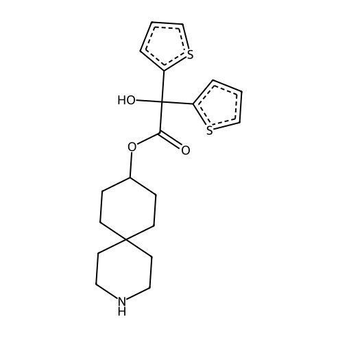 O=C(OC1CCC2(CCNCC2)CC1)C(O)(c1cccs1)c1cccs1